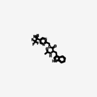 CC(=O)NC(Cc1c[nH]c2ccccc12)C(=O)OCc1ncc(C2(C(F)(F)F)N=N2)cn1